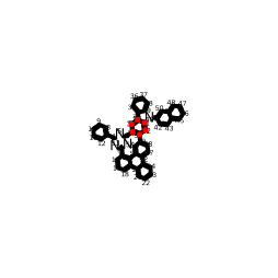 c1ccc(-c2nc(-c3ccccc3)nc(-c3cccc4c5ccccc5c5ccc(-c6ccc7c8ccccc8n(-c8ccc9ccccc9c8)c7c6)cc5c34)n2)cc1